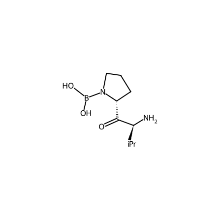 CC(C)[C@H](N)C(=O)[C@H]1CCCN1B(O)O